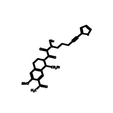 CCOC(=O)C1c2cc([N+](C)=O)c(OC)cc2CCN1C(=O)C(=O)N(CCCC#Cc1cccs1)C(C)(C)C